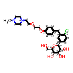 CN1CCN(CCOCCOc2ccc(Cc3cc([C@@H]4O[C@H](CO)[C@@H](O)[C@H](O)[C@H]4O)ccc3Cl)cc2)CC1